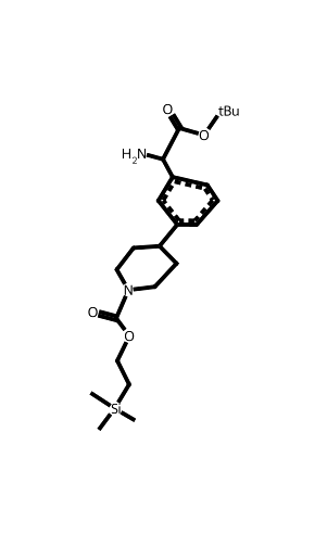 CC(C)(C)OC(=O)C(N)c1cccc(C2CCN(C(=O)OCC[Si](C)(C)C)CC2)c1